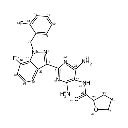 Nc1nc(-c2nn(Cc3ccccc3F)c3c(F)cccc23)nc(N)c1NC(=O)C1CCCO1